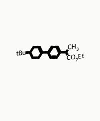 CCOC(=O)C(C)c1ccc(C2=CCC(C(C)(C)C)CC2)cc1